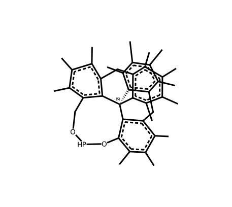 Cc1c(C)c(C)c2c(c1C)Cc1c(C)c(C)c(C)c3c1[C@@]21c2c(C)c(C)c(C)c(C)c2Cc2c(C)c(C)c(C)c(c21)OPOC3